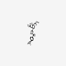 COC(=O)C[C@H]1C(=O)N(CC(=O)O)CCN1C(=O)CNC(=O)c1ccc(CCN)cc1